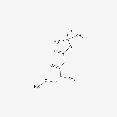 COCC(C)C(=O)CC(=O)OC(C)(C)C